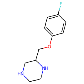 Fc1ccc(OCC2CNCCN2)cc1